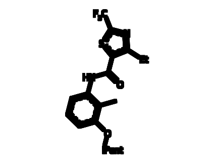 CCCC(C)Oc1cccc(NC(=O)c2sc(C(F)(F)F)nc2CC)c1C